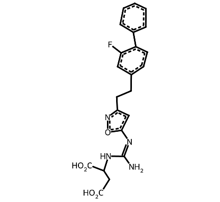 NC(=Nc1cc(CCc2ccc(-c3ccccc3)c(F)c2)no1)NC(CC(=O)O)C(=O)O